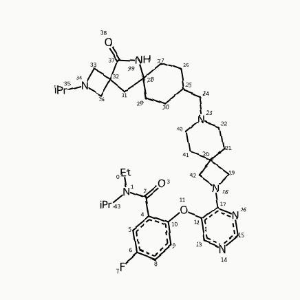 CCN(C(=O)c1cc(F)ccc1Oc1cncnc1N1CC2(CCN(CC3CCC4(CC3)CC3(CN(C(C)C)C3)C(=O)N4)CC2)C1)C(C)C